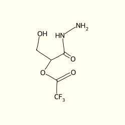 NNC(=O)C(CO)OC(=O)C(F)(F)F